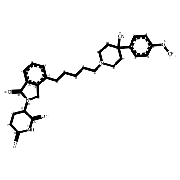 N#CC1(c2ccc(OC(F)(F)F)cc2)CCN(CCCCCc2cccc3c2CN(C2CCC(=O)NC2=O)C3=O)CC1